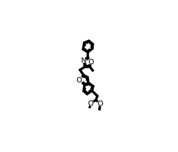 COC(Cc1ccc2oc(Cc3nc(-c4ccccc4)oc3C)cc2c1)OC